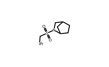 CC(C)CS(=O)(=O)N1CC2CCC1C2